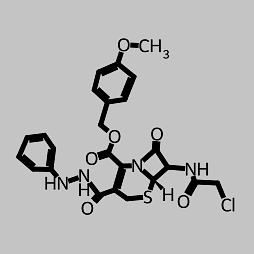 COc1ccc(COC(=O)C2=C(C(=O)NNc3ccccc3)CS[C@H]3C(NC(=O)CCl)C(=O)N23)cc1